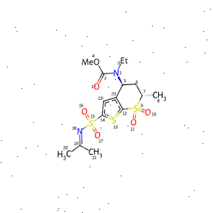 CCN(C(=O)OC)[C@H]1C[C@H](C)S(=O)(=O)c2sc(S(=O)(=O)N=C(C)C)cc21